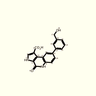 O=C(O)c1c[nH]c2c(=O)[nH]c3ccc(-c4cccc(CO)c4)cc3c12